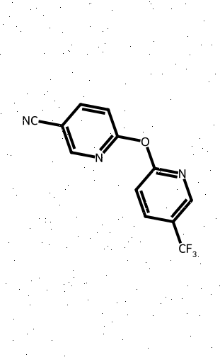 N#Cc1ccc(Oc2ccc(C(F)(F)F)cn2)nc1